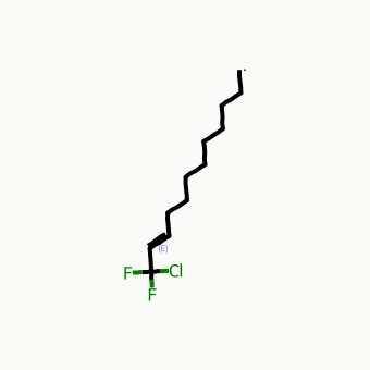 [CH2]CCCCCCCC/C=C/C(F)(F)Cl